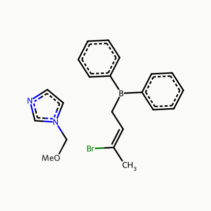 CC(Br)=CCB(c1ccccc1)c1ccccc1.COCn1ccnc1